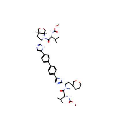 COC(=O)N[C@H](C(=O)N1C[C@]2(CCCOC2)C[C@H]1c1ncc(-c2ccc(-c3ccc(-c4cnc([C@@H]5C[C@@H]6COC[C@@H]6N5C(=O)[C@@H](NC(=O)OC)C(C)C)[nH]4)cc3)cc2)[nH]1)C(C)C